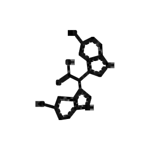 O=C(O)C(c1c[nH]c2ccc(O)cc12)c1c[nH]c2ccc(O)cc12